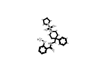 COc1ccccc1C(=O)NCC1(c2ccccc2)CCN(S(=O)(=O)N2CCCC2)CC1